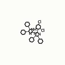 Clc1ccc(-c2nc(-c3ccccc3)c(-c3ccccc3)n2-c2nc(-c3ccccc3)c(-c3ccccc3)[nH]2)c(Cl)c1